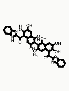 Cc1cc2c(C(=O)c3nc4ccccc4[nH]3)c(O)c(O)cc2c(O)c1-c1c(C)cc2c(C(=O)c3nc4ccccc4s3)c(O)c(O)cc2c1O